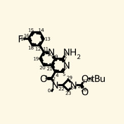 CN(C(=O)c1cnc(N)c2nc(-c3cccc(F)c3)ccc12)C1CN(C(=O)OC(C)(C)C)C1